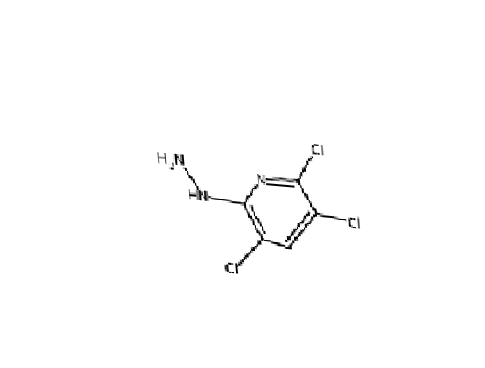 NNc1nc(Cl)c(Cl)cc1Cl